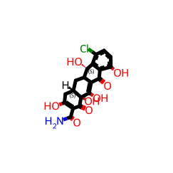 NC(=O)C1=C(O)C[C@@H]2CC3C(=C(O)[C@]2(O)C1=O)C(=O)c1c(O)ccc(Cl)c1[C@H]3O